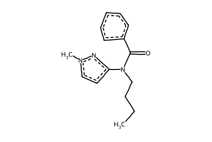 CCCCN(C(=O)c1ccccc1)c1ccn(C)n1